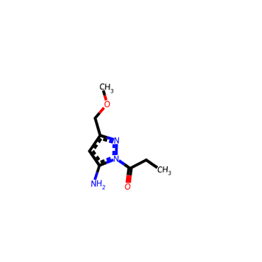 CCC(=O)n1nc(COC)cc1N